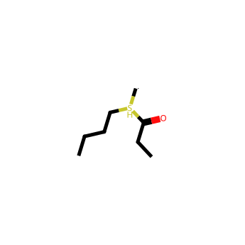 [CH2][SH](CCCC)C(=O)CC